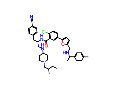 CCC(C)CN1CCC(NC[C@@H](Cc2ccc(C#N)cc2)NC(=O)c2cc(-c3ccc(CNC(C)c4ccc(C)cc4)o3)ccc2Cl)CC1